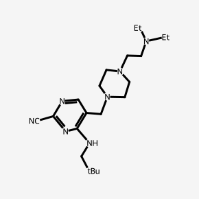 CCN(CC)CCN1CCN(Cc2cnc(C#N)nc2NCC(C)(C)C)CC1